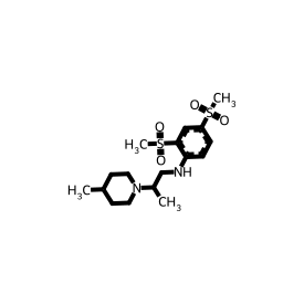 CC1CCN(C(C)CNc2ccc(S(C)(=O)=O)cc2S(C)(=O)=O)CC1